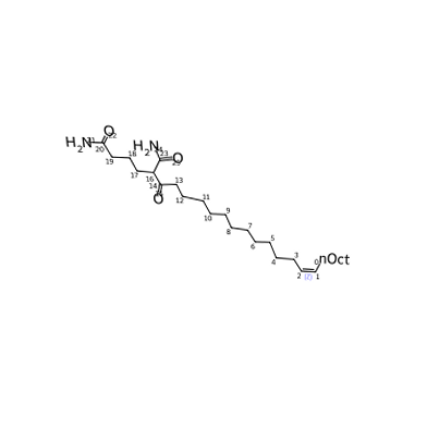 CCCCCCCC/C=C\CCCCCCCCCCCC(=O)C(CCCC(N)=O)C(N)=O